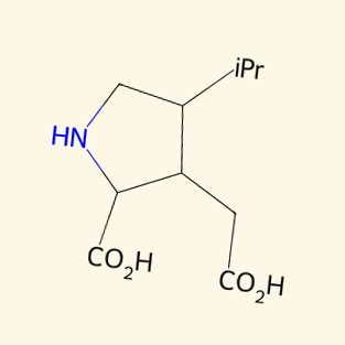 CC(C)C1CNC(C(=O)O)C1CC(=O)O